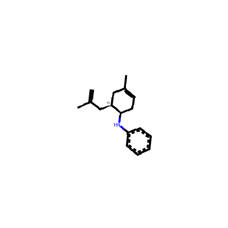 C=C(C)C[C@H]1CC(C)=CCC1Nc1ccccc1